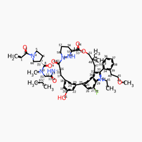 C=CC(=O)N1CC[C@H](C(=O)N(C)[C@H](C(=O)N[C@H]2Cc3cc(O)cc(c3)-c3cc(F)c4c(c3)c(c(-c3ccccc3CCOC)n4CC)CC(C)(C)COC(=O)[C@@H]3CCCN(N3)C2=O)C(C)C)C1